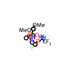 COc1ccc(COC(=O)[C@@]2(C)CCCC[C@H]2C(=O)N2CCc3c(F)ccc(OCc4nnn(C)c4C(F)(F)F)c3[C@H]2CN2CCCC2=O)c(OC)c1